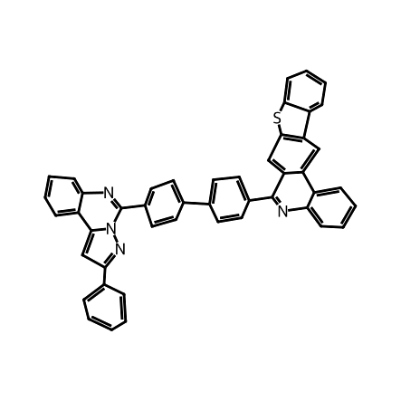 c1ccc(-c2cc3c4ccccc4nc(-c4ccc(-c5ccc(-c6nc7ccccc7c7cc8c(cc67)sc6ccccc68)cc5)cc4)n3n2)cc1